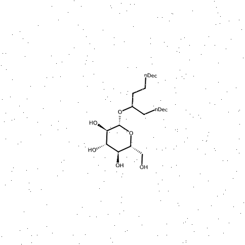 CCCCCCCCCCCCC(CCCCCCCCCCC)O[C@@H]1O[C@H](CO)[C@@H](O)[C@H](O)[C@H]1O